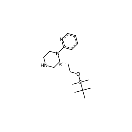 CC(C)(C)[Si](C)(C)OCC[C@@H]1CNCCN1c1ccccn1